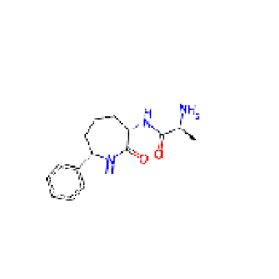 C[C@H](N)C(=O)N[C@H]1CCC[C@@H](c2ccccc2)NC1=O